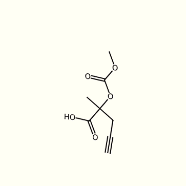 C#CCC(C)(OC(=O)OC)C(=O)O